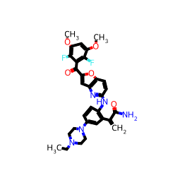 C=C(C(N)=O)c1cc(N2CCN(CC)CC2)ccc1Nc1ccc2oc(C(=O)c3c(F)c(OC)cc(OC)c3F)cc2n1